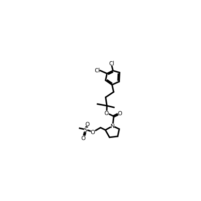 CC(C)(CCc1ccc(Cl)c(Cl)c1)OC(=O)N1CCCC1COS(C)(=O)=O